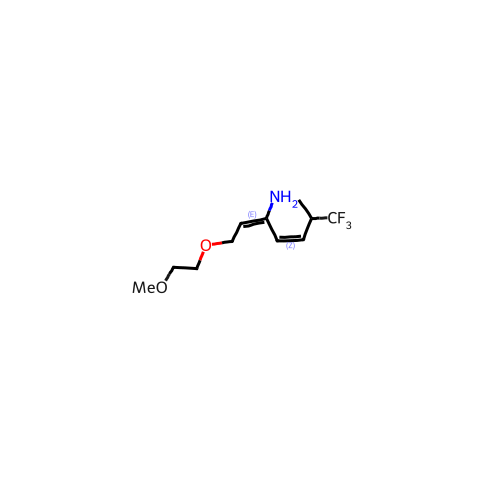 COCCOC/C=C(N)\C=C/C(C)C(F)(F)F